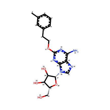 Cc1cccc(CCOc2nc(N)c3ncn([C@@H]4O[C@H](CO)C(O)C4O)c3n2)c1